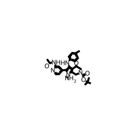 CC(=O)Nc1cc(-c2c(Nc3ccc(C)cc3)c3c(n2N)CN(C(=O)OC(C)(C)C)CC3=O)ccn1